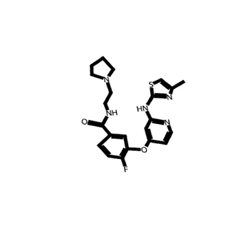 Cc1csc(Nc2cc(Oc3cc(C(=O)NCCN4CCCC4)ccc3F)ccn2)n1